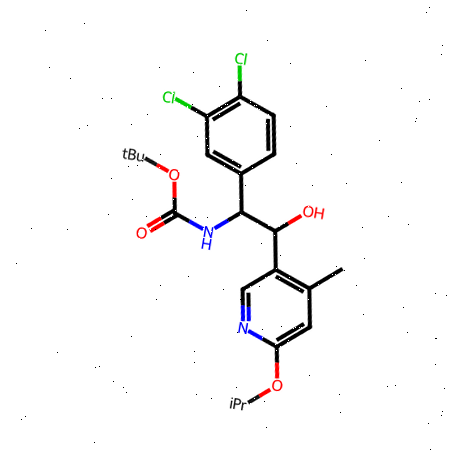 Cc1cc(OC(C)C)ncc1C(O)C(NC(=O)OC(C)(C)C)c1ccc(Cl)c(Cl)c1